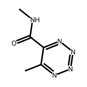 CNC(=O)c1nnnnc1C